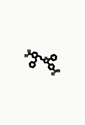 CCN(CC)c1ccc(C2CC(C=Cc3ccc(N(CC)CC)cc3Cc3ccccc3)=NN2c2ccccc2)cc1